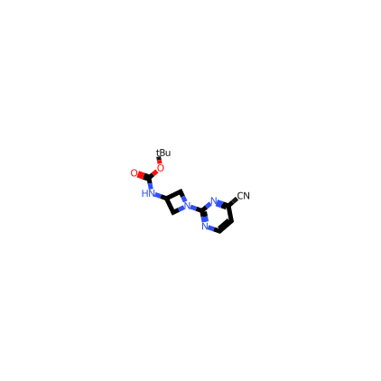 CC(C)(C)OC(=O)NC1CN(c2nccc(C#N)n2)C1